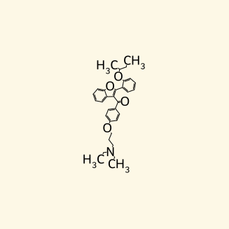 CCC(C)Oc1ccccc1-c1oc2ccccc2c1C(=O)c1ccc(OCCCN(CC)CC)cc1